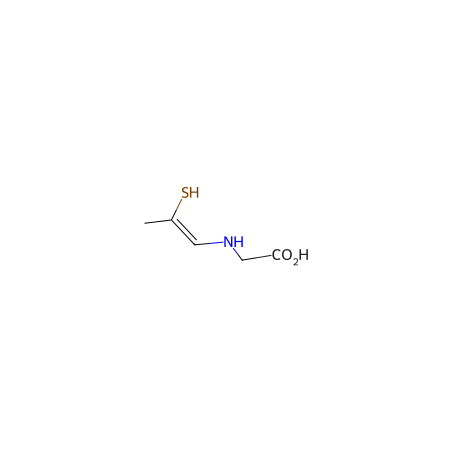 CC(S)=CNCC(=O)O